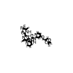 Cc1nc(C(=O)NC(C)C(F)(F)F)nc2c1N1CCC[C@@H](C1)N2C(=O)Nc1cc(OC[C@H]2COC(C)(C)O2)ccn1